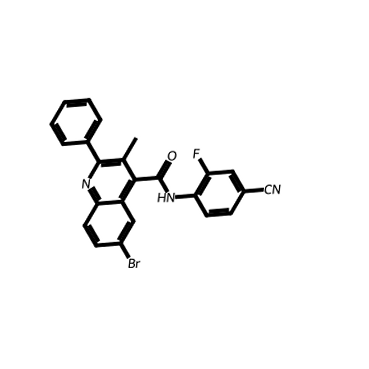 Cc1c(-c2ccccc2)nc2ccc(Br)cc2c1C(=O)Nc1ccc(C#N)cc1F